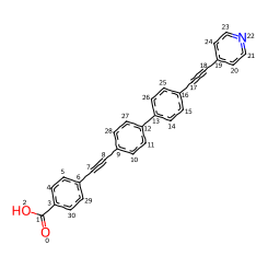 O=C(O)c1ccc(C#Cc2ccc(-c3ccc(C#Cc4ccncc4)cc3)cc2)cc1